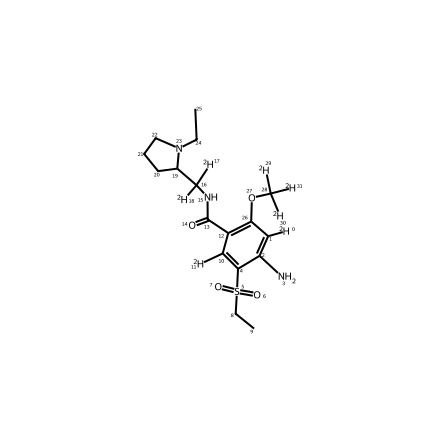 [2H]c1c(N)c(S(=O)(=O)CC)c([2H])c(C(=O)NC([2H])([2H])C2CCCN2CC)c1OC([2H])([2H])[2H]